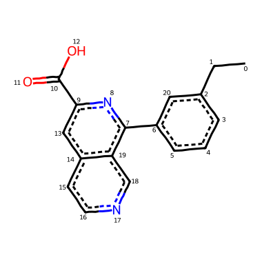 CCc1cccc(-c2nc(C(=O)O)cc3ccncc23)c1